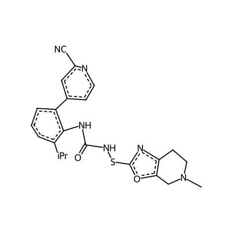 CC(C)c1cccc(-c2ccnc(C#N)c2)c1NC(=O)NSc1nc2c(o1)CN(C)CC2